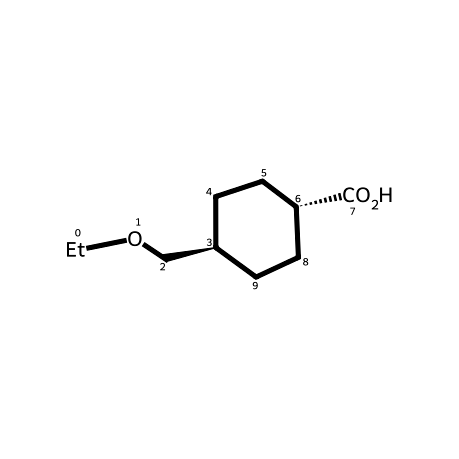 CCOC[C@H]1CC[C@H](C(=O)O)CC1